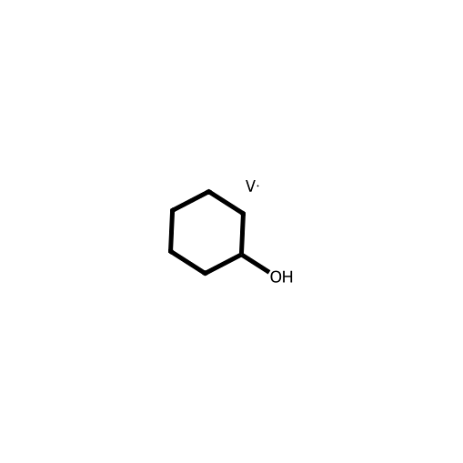 OC1CCCCC1.[V]